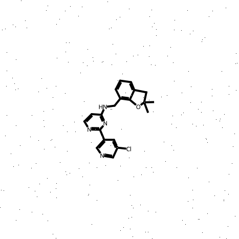 CC1(C)Cc2cccc(CNc3ccnc(-c4cncc(Cl)c4)n3)c2O1